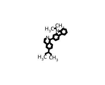 CCC(CC)c1ccc2c(-c3ccc4c5ccccc5n(C(C)C)c4c3)nccc2c1